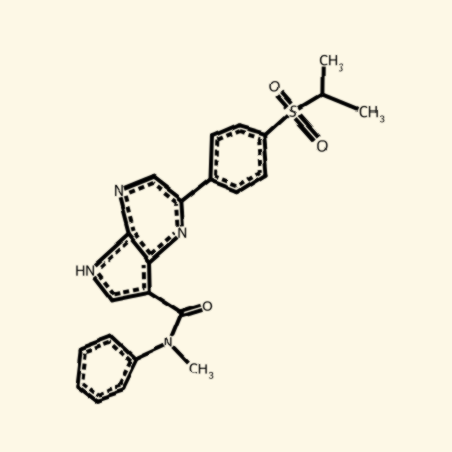 CC(C)S(=O)(=O)c1ccc(-c2cnc3[nH]cc(C(=O)N(C)c4ccccc4)c3n2)cc1